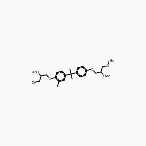 CCCCOCC(COc1ccc(C(C)(C)c2ccc(OCC(CCl)OC(C)=O)c(C)c2)cc1)OC(C)=O